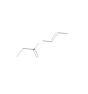 CCC(=O)OC=CCl